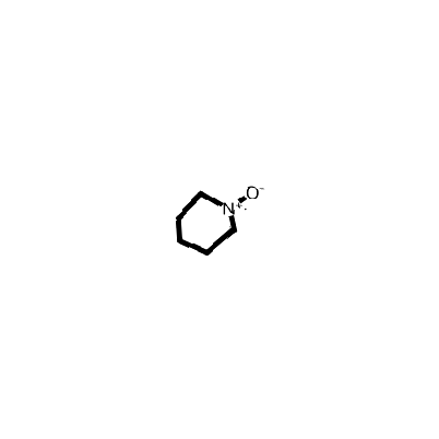 [O-][N+]1CCCCC1